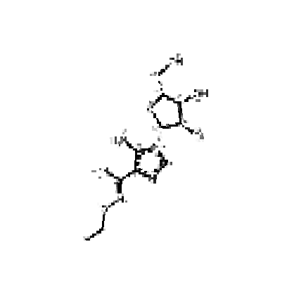 CCON=C(N)c1ncn([C@@H]2O[C@H](CO)[C@@H](O)[C@H]2O)c1N